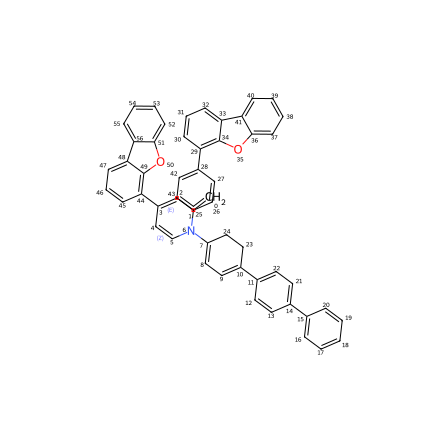 C=C/C=C(\C=C/N(C1=CC=C(c2ccc(-c3ccccc3)cc2)CC1)c1ccc(-c2cccc3c2oc2ccccc23)cc1)c1cccc2c1oc1ccccc12